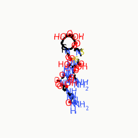 C/C(=C\c1csc(C)n1)[C@@H]1CC2[C@@H](CCC[C@H](C)[C@H](O)[C@@H](C)C(=O)C(C)(C)[C@@H](O)CC(=O)O1)[N@@]2CCOC(=O)OSSCC(NC(=O)[C@H](CC(=O)O)NC(=O)[C@H](CCCNC(=N)N)NC(=O)[C@H](CC(=O)O)NC(=O)CC[C@H](NC(=O)c1ccc(NCc2cnc3nc(N)[nH]c(=O)c3n2)cc1)C(=O)O)C(=O)O